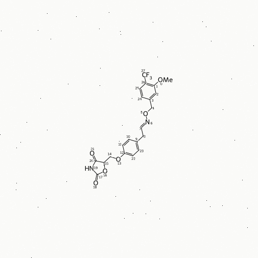 COc1cc(CON=CCc2ccc(OCC3OC(=O)NC3=O)cc2)ccc1C(F)(F)F